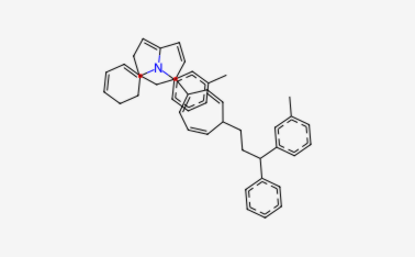 Cc1cccc(C(CCC2C=CC=C(C3/C=C\C(N(C4=CC=CCC4)c4cccc(C)c4)=C\CCC3)C=C2)c2ccccc2)c1